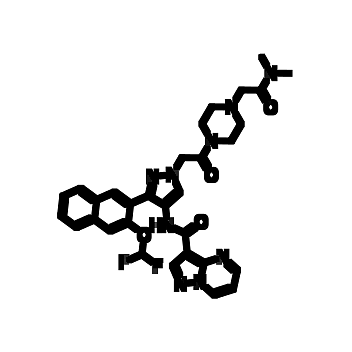 CN(C)C(=O)CN1CCN(C(=O)Cn2cc(NC(=O)c3cnn4cccnc34)c(-c3cc4ccccc4cc3OC(F)F)n2)CC1